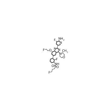 CC1COCCN1c1nc(-c2cnc(N)c(F)c2)nc2c(OCCF)cc(-c3cccc(NS(=O)(=O)CCCF)c3F)cc12